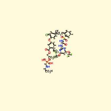 CCOC(=O)COC(=O)c1cc(Oc2ccc(C(F)(F)F)cc2Cl)ccc1[N+](=O)[O-].O=C(Nc1nc(OC(F)F)cc(OC(F)F)n1)NS(=O)(=O)c1ccccc1C(=O)O.O=C(O)CNCP(=O)(O)O